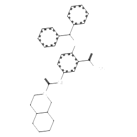 COC(=O)c1cc(NC(=O)N2CCC3CCCCC3C2)ccc1OC(c1ccccc1)c1ccccc1